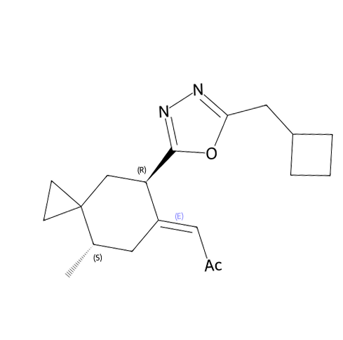 CC(=O)/C=C1\C[C@H](C)C2(CC2)C[C@H]1c1nnc(CC2CCC2)o1